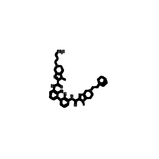 Cn1c(C(=O)Nc2cccc(-c3cccc(NC(=O)c4nc5c(n4C)CCN(CCC46CCC(CC4)C6)C5)c3Cl)c2Cl)nc2c1CCN(CCCC(=O)O)C2